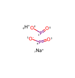 O=P[O-].O=P[O-].[H+].[Na+]